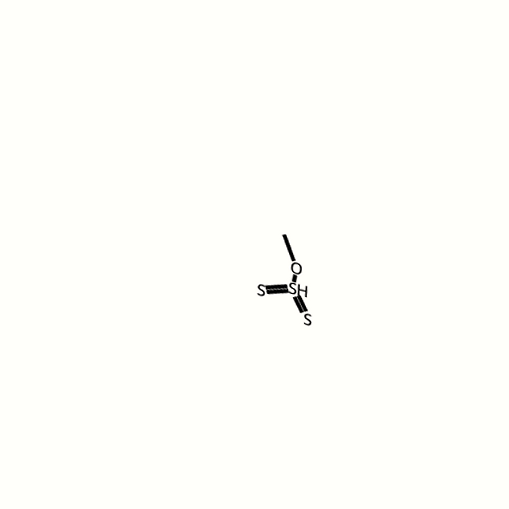 CO[SH](=S)=S